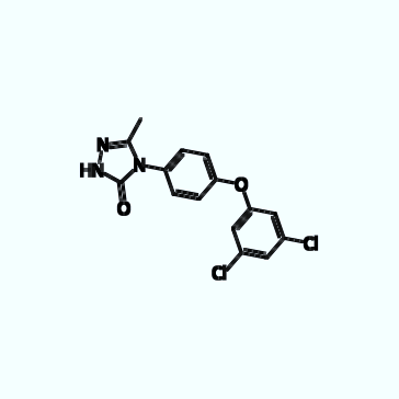 Cc1n[nH]c(=O)n1-c1ccc(Oc2cc(Cl)cc(Cl)c2)cc1